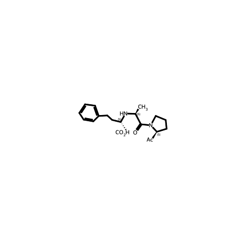 CC(=O)[C@@H]1CCCN1C(=O)[C@H](C)N[C@@H](CCc1ccccc1)C(=O)O